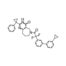 O=C(N1CCCc2nc(C3(c4ccccc4)CC3)[nH]c(=O)c2C1)C(F)(F)c1cccc(-c2cccc(C3CC3)c2)c1